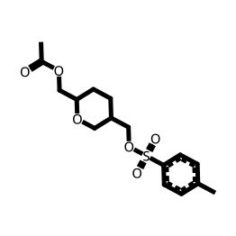 CC(=O)OCC1CCC(COS(=O)(=O)c2ccc(C)cc2)CO1